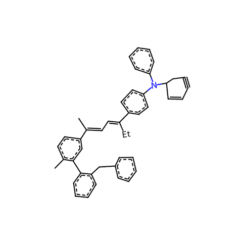 CC/C(=C\C=C(/C)c1ccc(C)c(-c2ccccc2Cc2ccccc2)c1)c1ccc(N(c2ccccc2)C2C=CC#CC2)cc1